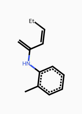 C=C(/C=C\CC)Nc1ccccc1C